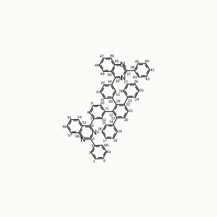 c1ccc(-c2nc(-c3cccc(-c4c(-c5ccccc5)ccc(-c5ccccc5)c4-c4cccc(-c5nc(-c6ccccc6)nc6ccccc56)c4)c3)c3ccccc3n2)cc1